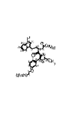 COCCOc1cccc(-c2sc(C)nc2C(=O)N(CCc2c[nH]c3ccccc23)CC(=O)OC)c1